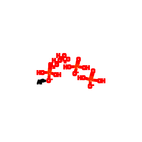 O.O.O.O.O=P([O-])(O)O.O=P([O-])(O)O.O=P([O-])(O)O.[Al+3]